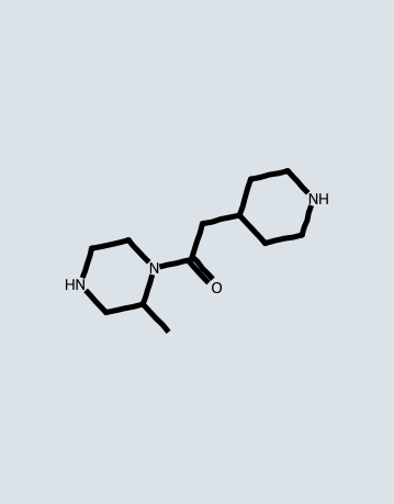 CC1CNCCN1C(=O)CC1CCNCC1